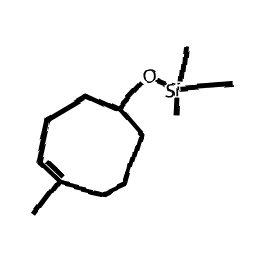 CC1=CCCC(O[Si](C)(C)C)CCC1